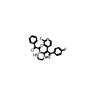 O=C(C(=O)N1NCCn2nc(-c3ccc(F)cc3)c(-c3ccnc(F)c3)c21)c1ccccc1